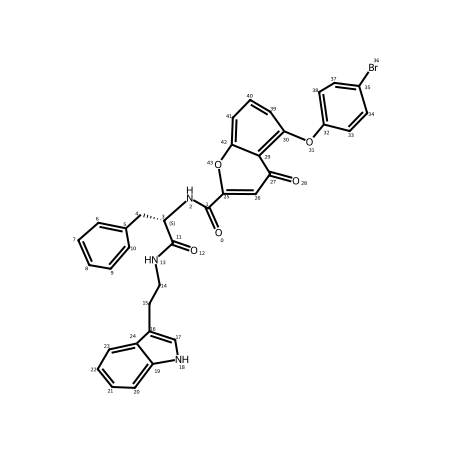 O=C(N[C@@H](Cc1ccccc1)C(=O)NCCc1c[nH]c2ccccc12)c1cc(=O)c2c(Oc3ccc(Br)cc3)cccc2o1